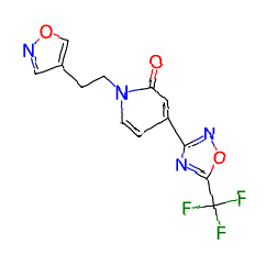 O=c1cc(-c2noc(C(F)(F)F)n2)ccn1CCc1cnoc1